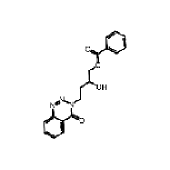 O=C(OCC(O)CCn1nnc2ccccc2c1=O)c1ccccc1